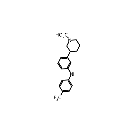 O=C(O)N1CCCC(c2cccc(Nc3ccc(C(F)(F)F)cc3)c2)C1